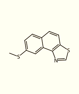 CSc1ccc2ccc3scnc3c2c1